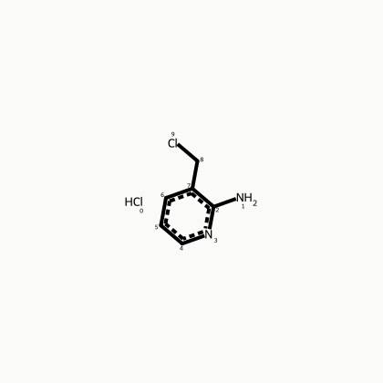 Cl.Nc1ncccc1CCl